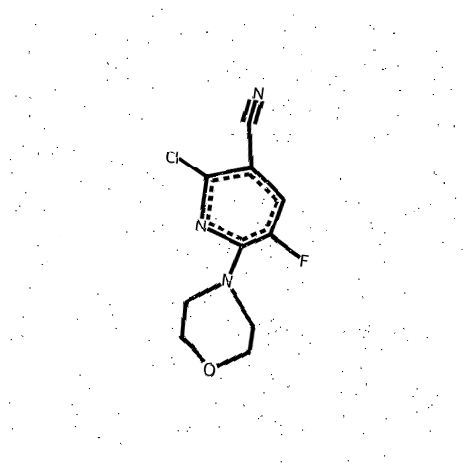 N#Cc1cc(F)c(N2CCOCC2)nc1Cl